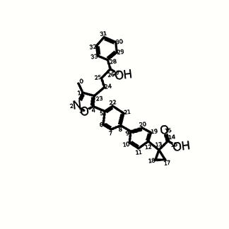 Cc1noc(-c2ccc(-c3ccc(C4(C(=O)O)CC4)cc3)cc2)c1CCC(O)c1ccccc1